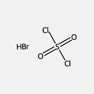 Br.O=S(=O)(Cl)Cl